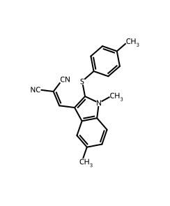 Cc1ccc(Sc2c(C=C(C#N)C#N)c3cc(C)ccc3n2C)cc1